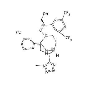 Cl.Cn1nnnc1C1C[C@]2(c3ccccc3)N[C@H]1CC[C@H]2O[C@@H](CO)c1cc(C(F)(F)F)cc(C(F)(F)F)c1